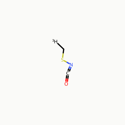 [3H]CSN=C=O